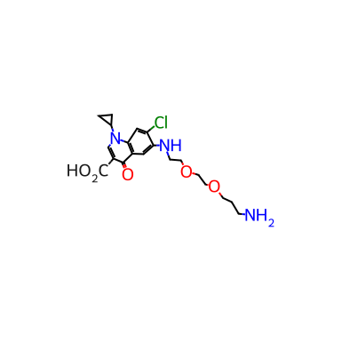 NCCCOCCOCCNc1cc2c(=O)c(C(=O)O)cn(C3CC3)c2cc1Cl